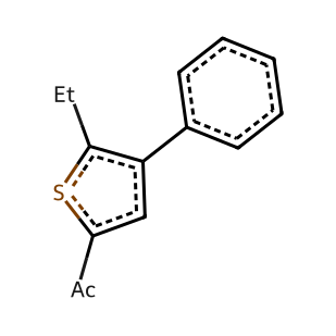 CCc1sc(C(C)=O)cc1-c1ccccc1